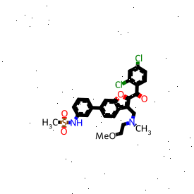 COCCN(C)Cc1c(C(=O)c2ccc(Cl)cc2Cl)oc2cc(-c3cccc(NS(C)(=O)=O)c3)ccc12